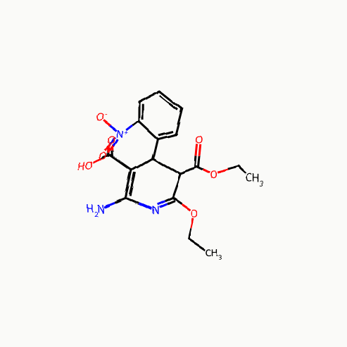 CCOC(=O)C1C(OCC)=NC(N)=C(C(=O)O)C1c1ccccc1[N+](=O)[O-]